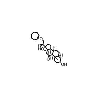 C1=CCCCCC1.C[C@]12CC[C@@H](O)C[C@H]1CC[C@@H]1[C@@H]2C(=O)C[C@@]2(C)[C@H]1CC[C@]2(O)C(=O)CO